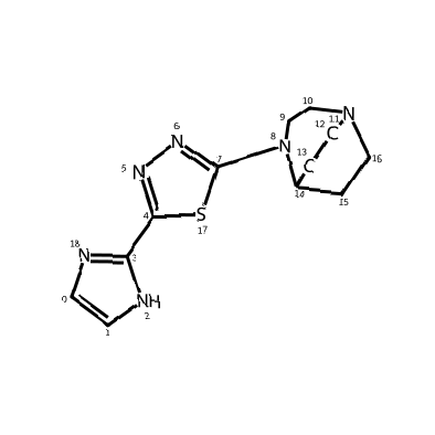 c1c[nH]c(-c2nnc(N3CCN4CCC3CC4)s2)n1